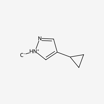 [CH2-][NH+]1C=C(C2CC2)C=N1